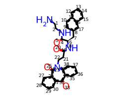 NCCNC(=O)[C@@H](Cc1ccc2ccccc2c1)NC(=O)CCn1c(=O)c2ccccc2c(=O)c2ccccc21